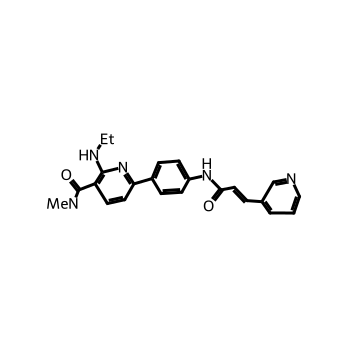 CCNc1nc(-c2ccc(NC(=O)C=Cc3cccnc3)cc2)ccc1C(=O)NC